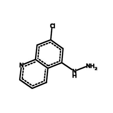 NNc1cc(Cl)cc2ncccc12